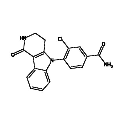 NC(=O)c1ccc(-n2c3c(c4ccccc42)C(=O)NCC3)c(Cl)c1